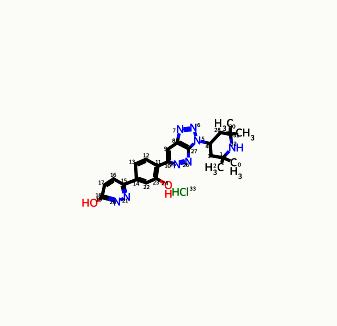 CC1(C)CC(n2nnc3cc(-c4ccc(-c5ccc(O)nn5)cc4O)nnc32)CC(C)(C)N1.Cl